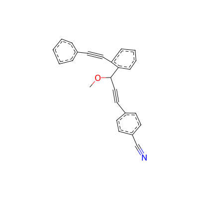 COC(C#Cc1ccc(C#N)cc1)c1ccccc1C#Cc1ccccc1